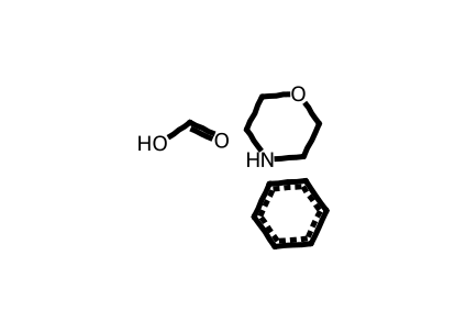 C1COCCN1.O=CO.c1ccccc1